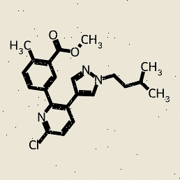 COC(=O)c1cc(-c2nc(Cl)ccc2-c2cnn(CCC(C)C)c2)ccc1C